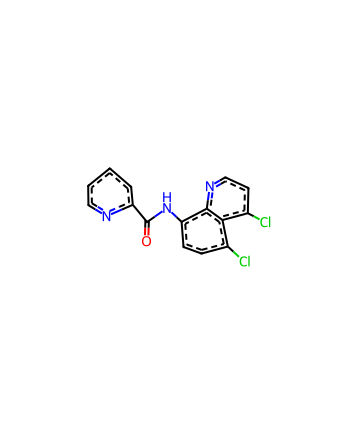 O=C(Nc1ccc(Cl)c2c(Cl)ccnc12)c1ccccn1